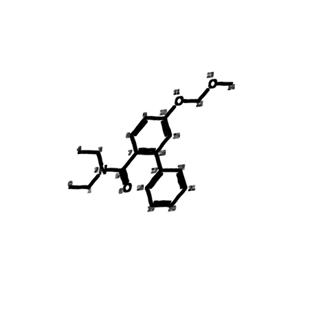 CCN(CC)C(=O)c1ccc(OCOC)cc1-c1ccccc1